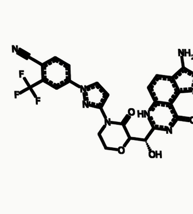 N#Cc1ccc(-n2ccc(N3CCOC([C@@H](O)c4nc(=O)c5c(ccc6c(N)nsc65)[nH]4)C3=O)n2)cc1C(F)(F)F